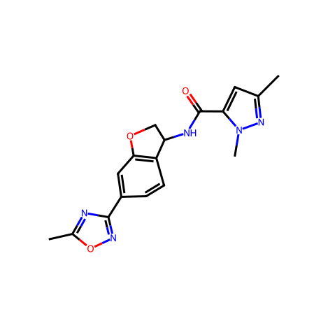 Cc1cc(C(=O)NC2COc3cc(-c4noc(C)n4)ccc32)n(C)n1